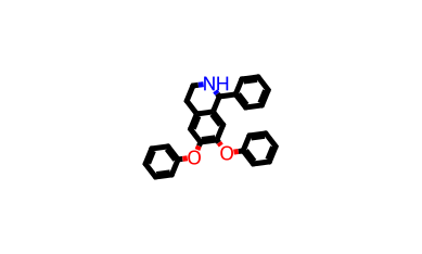 c1ccc(Oc2cc3c(cc2Oc2ccccc2)C(c2ccccc2)NCC3)cc1